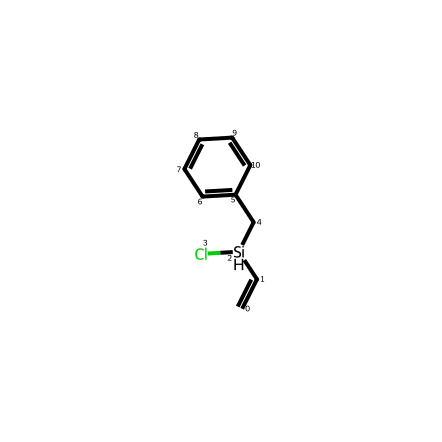 C=C[SiH](Cl)Cc1ccccc1